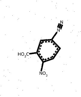 N#[N+]c1ccc([N+](=O)[O-])c(C(=O)O)c1